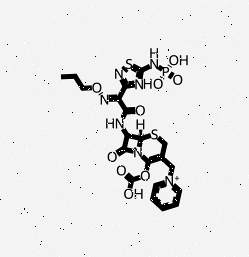 CCCON=C(C(=O)NC1C(=O)N2C(OC(=O)O)=C(C[n+]3ccccc3)CS[C@@H]12)c1nsc(NP(=O)(O)O)n1